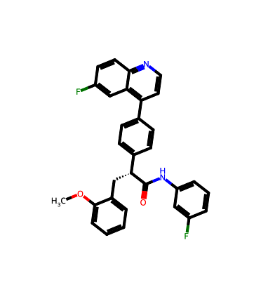 COc1ccccc1C[C@@H](C(=O)Nc1cccc(F)c1)c1ccc(-c2ccnc3ccc(F)cc23)cc1